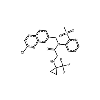 CS(=O)(=O)c1ncccc1N(Cc1ccc2ccc(Cl)nc2c1)C(=O)CNC1(C(F)(F)F)CC1